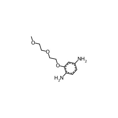 COCCOCCOc1cc(N)ccc1N